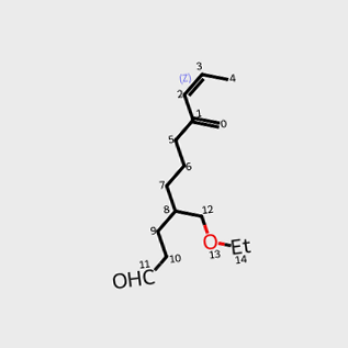 C=C(/C=C\C)CCCC(CCC=O)COCC